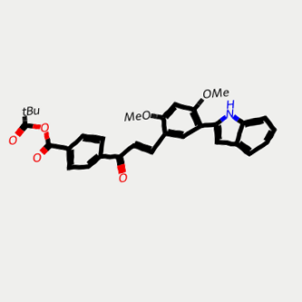 COc1cc(OC)c(-c2cc3ccccc3[nH]2)cc1/C=C/C(=O)c1ccc(C(=O)OC(=O)C(C)(C)C)cc1